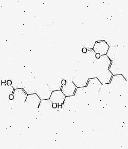 CCC(=C/[C@H](C)C/C=C/C(C)=C/[C@@H](C)C(=O)[C@@H](C)[C@H](O)[C@@H](C)C/C(C)=C/C(=O)O)/C=C/[C@H]1OC(=O)C=C[C@@H]1C